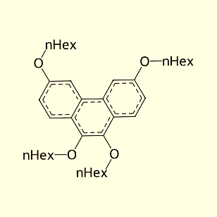 CCCCCCOc1ccc2c(OCCCCCC)c(OCCCCCC)c3ccc(OCCCCCC)cc3c2c1